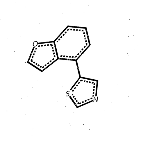 [c]1cc2c(-c3cncs3)cccc2o1